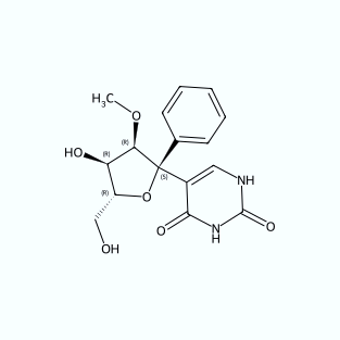 CO[C@@H]1[C@H](O)[C@@H](CO)O[C@@]1(c1ccccc1)c1c[nH]c(=O)[nH]c1=O